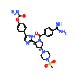 CS(=O)(=O)N1CCN([C@H]2C[C@@H](c3ncc(-c4ccc(OC(N)=O)cc4)[nH]3)N(C(=O)c3ccc(C(=N)N)cc3)C2)CC1